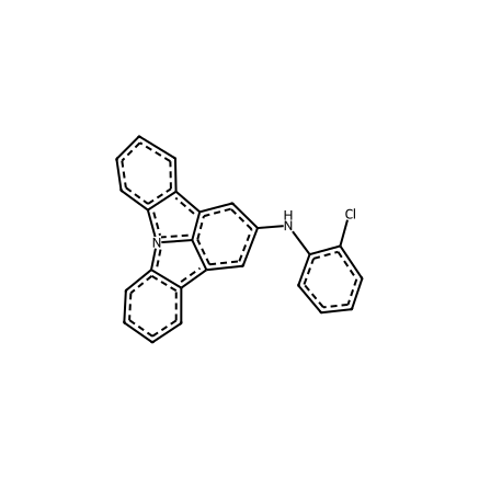 Clc1ccccc1Nc1cc2c3ccccc3n3c4ccccc4c(c1)c23